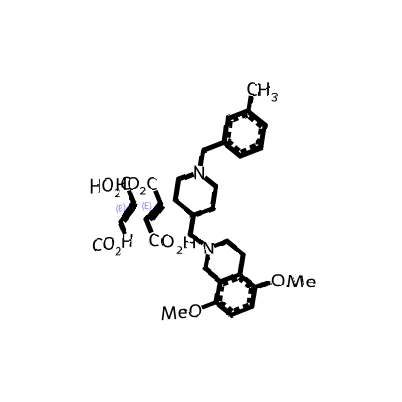 COc1ccc(OC)c2c1CCN(CC1CCN(Cc3cccc(C)c3)CC1)C2.O=C(O)/C=C/C(=O)O.O=C(O)/C=C/C(=O)O